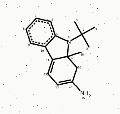 CC(C)(C)N1c2ccccc2C2=CC=C(N)CC21C